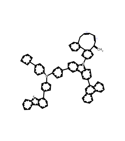 C=C1/C=C\C=C/Cc2ccccc2-c2cc(-n3c4ccc(-c5ccc(N(c6ccc(-c7ccccc7)cc6)c6ccc(-c7cccc8c7sc7ccccc78)cc6)cc5)cc4c4cc(-c5cc6ccccc6c6ccccc56)ccc43)ccc21